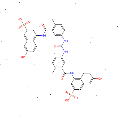 Cc1ccc(NC(=O)Nc2ccc(C)c(C(=O)Nc3cc(S(=O)(=O)O)cc4cc(O)ccc34)c2)cc1C(=O)Nc1cc(S(=O)(=O)O)cc2cc(O)ccc12